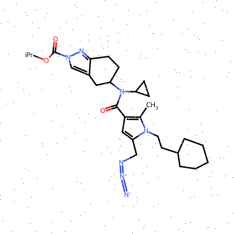 Cc1c(C(=O)N(C2CC2)C2CCc3nn(C(=O)OC(C)C)cc3C2)cc(CN=[N+]=[N-])n1CCC1CCCCC1